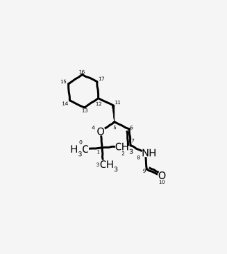 CC(C)(C)O[C@H](C=CNC=O)CC1CCCCC1